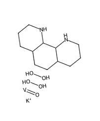 C1CNC2C(C1)CCC1CCCNC12.OO.OO.[K+].[O]=[V]